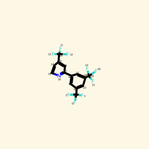 FC(F)(F)c1cc(-c2cc(C(F)(F)F)ccn2)cc(C(F)(F)F)c1